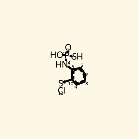 O=P(O)(S)Nc1ccccc1SCl